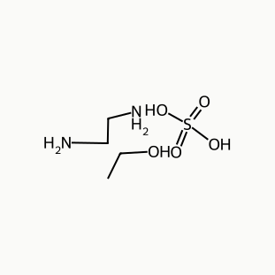 CCO.NCCN.O=S(=O)(O)O